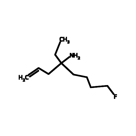 C=CCC(N)(CC)CCCCF